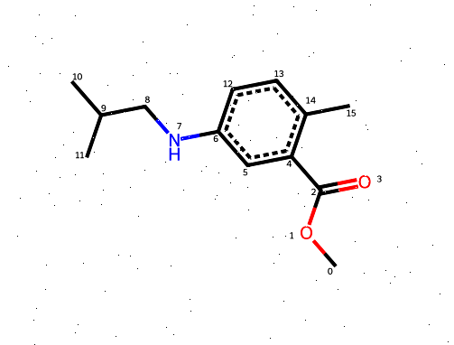 COC(=O)c1cc(NCC(C)C)ccc1C